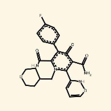 NC(=O)c1c(C2=CC=CON2)n(CC2CCOCC2)c(C(N)=O)c(-c2ccc(F)cc2)c1=O